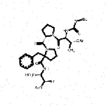 CC[C@@H](OC(C)=O)[C@H](NC(=O)C1(Cc2ccccc2)CCCN1C(=O)[C@@H]1CCCN1C(=O)[C@@H](NC(=O)OC(C)(C)C)[C@@H](C)OC(C)=O)C(=O)O